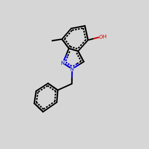 Cc1ccc(O)c2cn(Cc3ccccc3)nc12